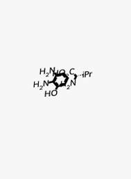 CC(C)[C@H](N)C(=O)O.Nc1cccc(O)c1N